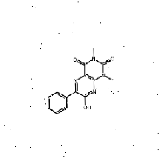 Cn1c(=O)c2nc(-c3ccccc3)c(O)nc2n(C)c1=O